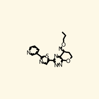 CCCO/N=C1\CCOc2nnc(-c3cnc(-c4cccnc4)s3)nc21